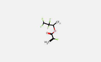 C=C(F)C(=O)OC(C(F)(F)F)C(F)(F)C(F)F